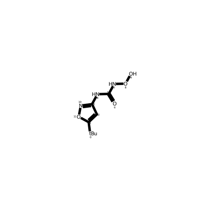 CC(C)(C)c1cc(NC(=O)NOO)no1